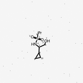 CC(C)S(=O)(=O)NC(CO)C1CC1